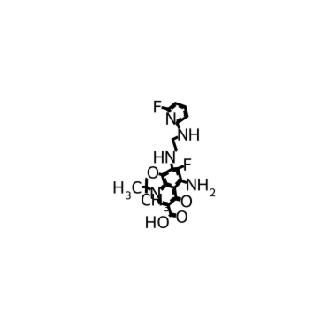 CC1(C)COc2c(NCCNc3cccc(F)n3)c(F)c(N)c3c(=O)c(C(=O)O)cn1c23